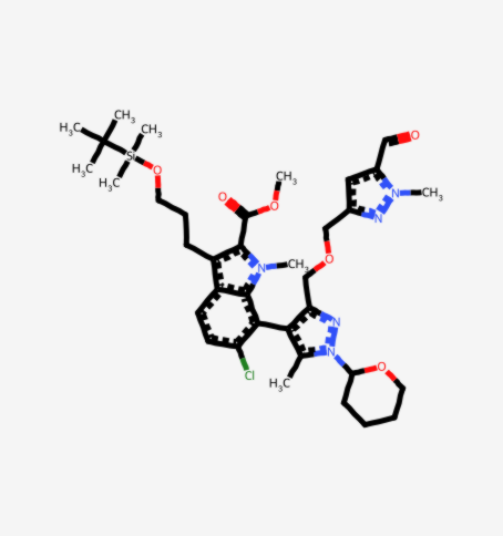 COC(=O)c1c(CCCO[Si](C)(C)C(C)(C)C)c2ccc(Cl)c(-c3c(COCc4cc(C=O)n(C)n4)nn(C4CCCCO4)c3C)c2n1C